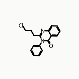 O=c1c2ccccc2nc(CCCCl)n1-c1ccccc1